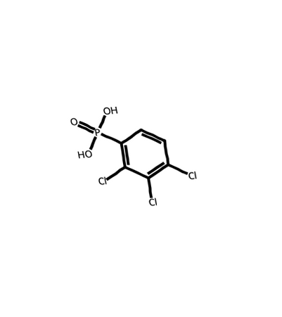 O=P(O)(O)c1ccc(Cl)c(Cl)c1Cl